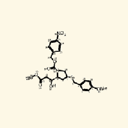 COc1ccc(CS[C@H]2C[C@@H](C(O)CC(=O)OC(C)(C)C)N(C(=O)OCc3ccc([N+](=O)[O-])cc3)C2)cc1